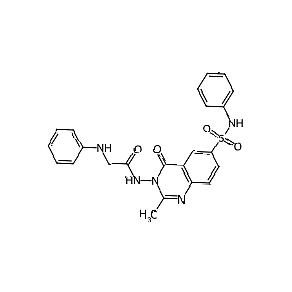 Cc1nc2ccc(S(=O)(=O)Nc3ccccc3)cc2c(=O)n1NC(=O)CNc1ccccc1